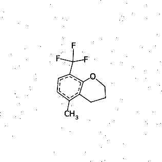 Cc1ccc(C(F)(F)F)c2c1CCCO2